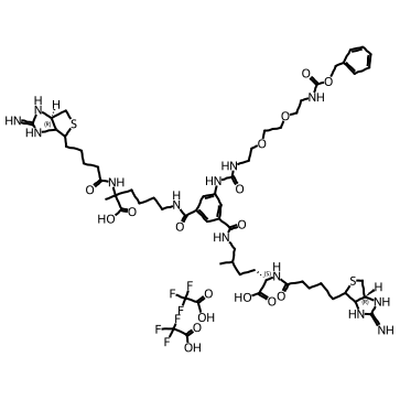 CC(CC[C@H](NC(=O)CCCCC1SC[C@@H]2NC(=N)NC12)C(=O)O)CNC(=O)c1cc(NC(=O)NCCOCCOCCNC(=O)OCc2ccccc2)cc(C(=O)NCCCCC(C)(NC(=O)CCCCC2SC[C@@H]3NC(=N)NC23)C(=O)O)c1.O=C(O)C(F)(F)F.O=C(O)C(F)(F)F